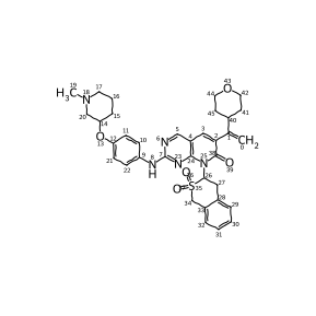 C=C(c1cc2cnc(Nc3ccc(OC4CCCN(C)C4)cc3)nc2n(C2Cc3ccccc3CS2(=O)=O)c1=O)C1CCOCC1